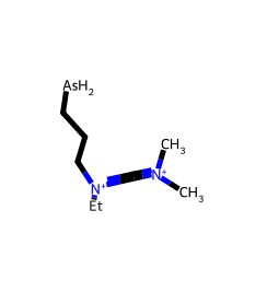 CC[N+](=C=[N+](C)C)CCC[AsH2]